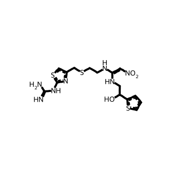 N=C(N)Nc1nc(CSCCNC(=C[N+](=O)[O-])NCC(O)c2cccs2)cs1